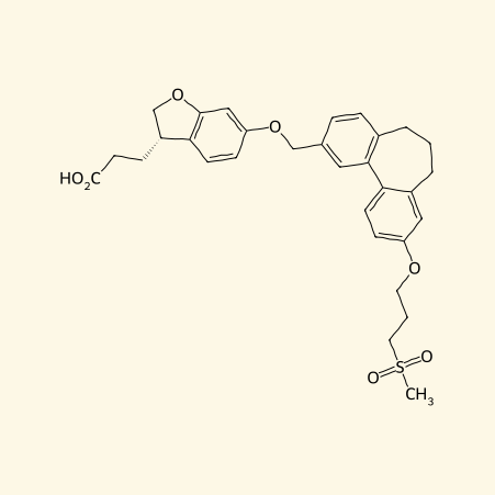 CS(=O)(=O)CCCOc1ccc2c(c1)CCCc1ccc(COc3ccc4c(c3)OC[C@H]4CCC(=O)O)cc1-2